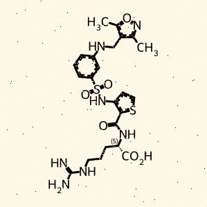 Cc1noc(C)c1CNc1cccc(S(=O)(=O)Nc2ccsc2C(=O)N[C@@H](CCCNC(=N)N)C(=O)O)c1